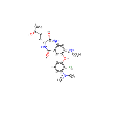 COC(=O)CC[C@H]1NC(=O)c2cc(Oc3cccc(N(C)C)c3Cl)c(NC(=O)O)cc2NC1=O